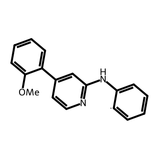 COc1ccccc1-c1ccnc(Nc2[c]cccc2)c1